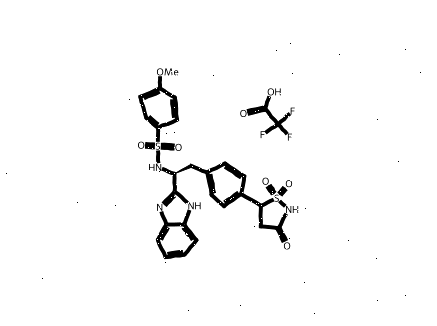 COc1ccc(S(=O)(=O)N[C@@H](Cc2ccc(C3CC(=O)NS3(=O)=O)cc2)c2nc3ccccc3[nH]2)cc1.O=C(O)C(F)(F)F